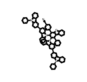 N#Cc1ccc(-c2c(-n3c4ccccc4c4cc(-c5ccc6c(c5)c5ccccc5n6-c5ccccc5)ccc43)c(-n3c4ccccc4c4cc(-c5ccc6c(c5)c5ccccc5n6-c5ccccc5)ccc43)c(-c3ccccc3)c3c2oc2ccccc23)cc1